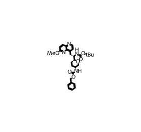 COc1ccc2nccc(C[C@H](NC(=O)OC(C)(C)C)[C@@H]3CC[C@@H](NC(=O)OCc4ccccc4)CO3)c2n1